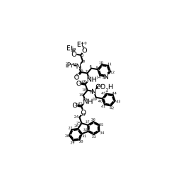 CCOC(CN(C(=O)C(Cc1cccnc1)NC(=O)C(CNC(=O)OCC1c2ccccc2-c2ccccc21)N(Cc1ccccc1)C(=O)O)C(C)C)OCC